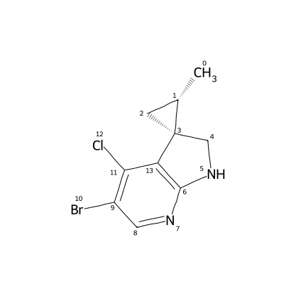 C[C@H]1C[C@@]12CNc1ncc(Br)c(Cl)c12